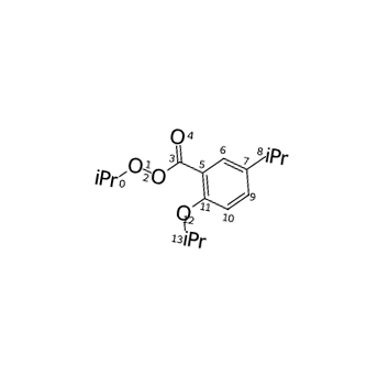 CC(C)OOC(=O)c1cc(C(C)C)ccc1OC(C)C